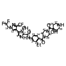 CCc1cc(NC(=O)c2ncc(-c3cn(CC(F)F)nc3C(F)(F)F)n2C)ccc1C(=O)N1CCN(C(=O)C2(O)CCNCC2)CC1